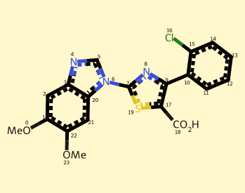 COc1cc2ncn(-c3nc(-c4ccccc4Cl)c(C(=O)O)s3)c2cc1OC